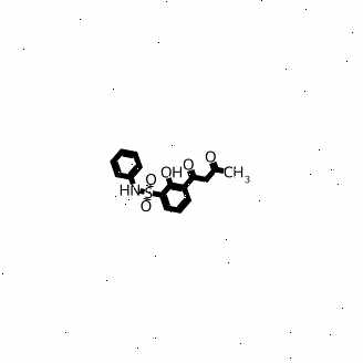 CC(=O)CC(=O)c1cccc(S(=O)(=O)Nc2ccccc2)c1O